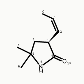 C/C=C\[C@@H]1CC(C)(C)NC1=O